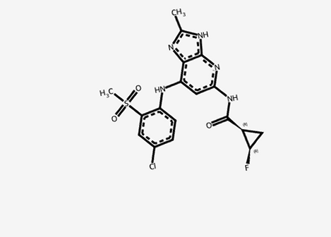 Cc1nc2c(Nc3ccc(Cl)cc3S(C)(=O)=O)cc(NC(=O)[C@H]3C[C@H]3F)nc2[nH]1